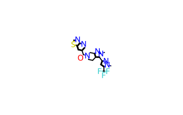 Cn1nc(-c2c3c(nn2C)CN(C(=O)c2cnc4ncsc4c2)CC3)cc1C(F)(F)F